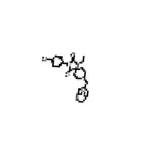 CCN1C(=O)N(c2ccc(Cl)cc2)C(=O)C12CCN(CC1CC3CCC(C1)O3)CC2